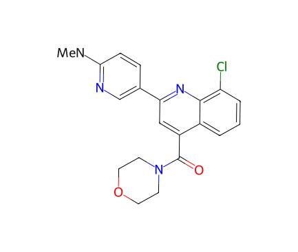 CNc1ccc(-c2cc(C(=O)N3CCOCC3)c3cccc(Cl)c3n2)cn1